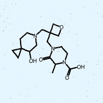 CC1C(=O)N(CC2(CN3CCC4(CC4)C(O)C3)COC2)CCN1C(=O)O